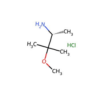 COC(C)(C)[C@@H](C)N.Cl